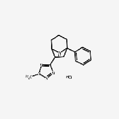 Cl.Cn1nnc(C2CC3(c4ccccc4)CCCC2N3)n1